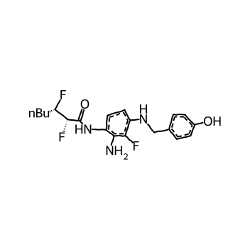 CCCC[C@H](F)[C@@H](F)C(=O)Nc1ccc(NCc2ccc(O)cc2)c(F)c1N